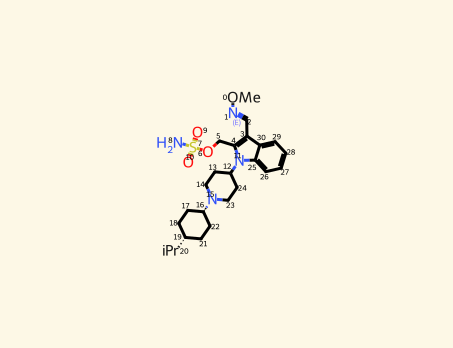 CO/N=C/c1c(COS(N)(=O)=O)n(C2CCN([C@H]3CC[C@@H](C(C)C)CC3)CC2)c2ccccc12